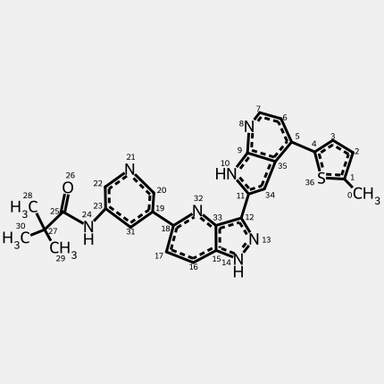 Cc1ccc(-c2ccnc3[nH]c(-c4n[nH]c5ccc(-c6cncc(NC(=O)C(C)(C)C)c6)nc45)cc23)s1